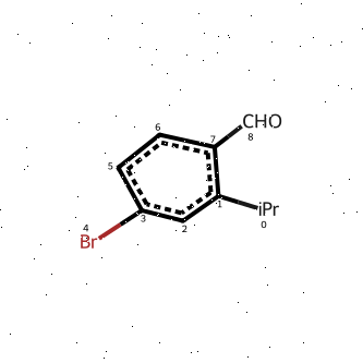 CC(C)c1cc(Br)ccc1C=O